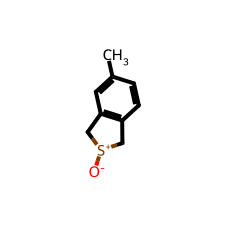 Cc1ccc2c(c1)C[S+]([O-])C2